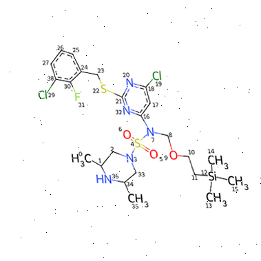 CC1CN(S(=O)(=O)N(COCC[Si](C)(C)C)c2cc(Cl)nc(SCc3cccc(Cl)c3F)n2)CC(C)N1